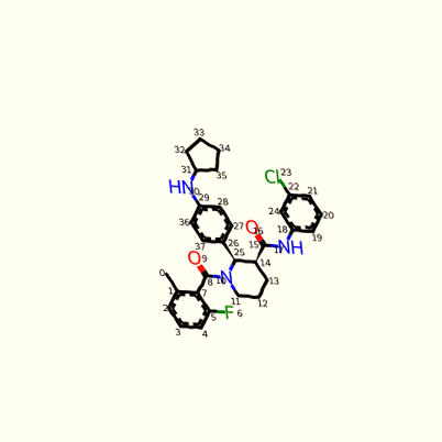 Cc1cccc(F)c1C(=O)N1CCC[C@H](C(=O)Nc2cccc(Cl)c2)[C@@H]1c1ccc(NC2CCCC2)cc1